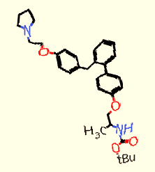 CC(COc1ccc(-c2ccccc2Cc2ccc(OCCN3CCCC3)cc2)cc1)NC(=O)OC(C)(C)C